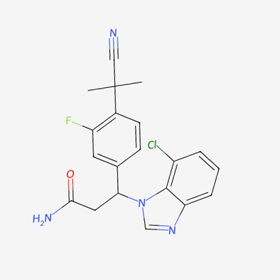 CC(C)(C#N)c1ccc(C(CC(N)=O)n2cnc3cccc(Cl)c32)cc1F